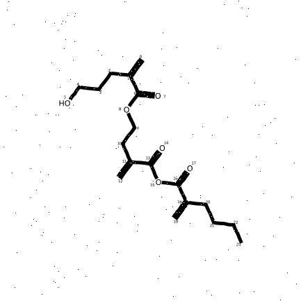 C=C(CCCO)C(=O)OCCC(=C)C(=O)OC(=O)C(=C)CCCC